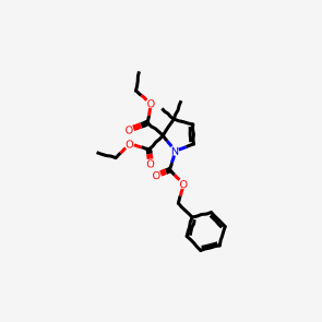 CCOC(=O)C1(C(=O)OCC)N(C(=O)OCc2ccccc2)C=CC1(C)C